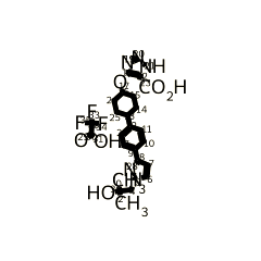 CC(C)(O)Cn1ccc(-c2ccc(C3CCC(Oc4nn[nH]c4C(=O)O)CC3)cc2)n1.O=C(O)C(F)(F)F